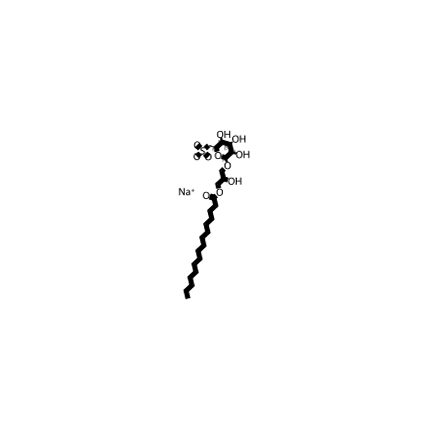 CCCCCCCCCCCCCCCC(=O)OCC(O)CO[C@H]1O[C@H](CS(=O)(=O)[O-])[C@@H](O)[C@H](O)[C@H]1O.[Na+]